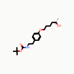 C[C@H](O)CCCCOc1ccc(CCNC(=O)OC(C)(C)C)cc1